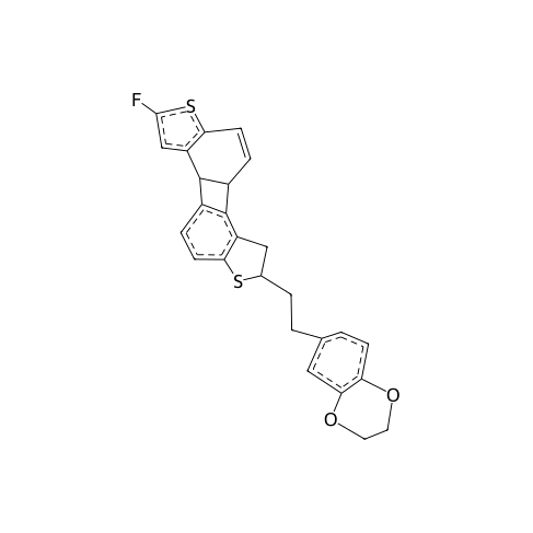 Fc1cc2c(s1)C=CC1c3c(ccc4c3CC(CCc3ccc5c(c3)OCCO5)S4)C21